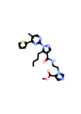 CCCCc1c(C(=O)NCCn2cncc2C(=O)OC)cnn1-c1ncc(C)c(-c2cccs2)n1